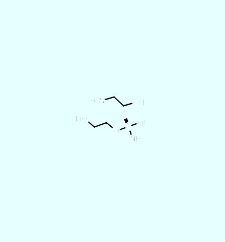 CCCN.NP(=O)(O)OCCO